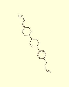 CCCc1ccc(C2CCC(C3CCC(=COC)CC3)CC2)cc1